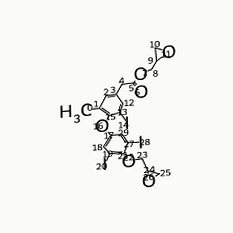 Cc1cc(CC(=O)OCC2CO2)cc(I)c1Oc1cc(I)c(OCC2CO2)c(I)c1